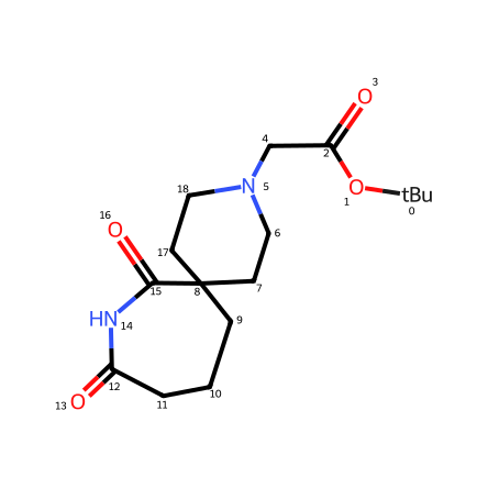 CC(C)(C)OC(=O)CN1CCC2(CCCC(=O)NC2=O)CC1